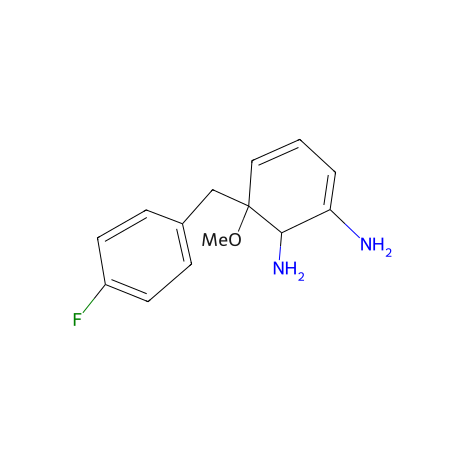 COC1(Cc2ccc(F)cc2)C=CC=C(N)C1N